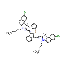 CC1(C)C(/C=C/C2=C(Sc3ccccc3)C(=C/C=C3/N(CCCCS(=O)(=O)O)c4ccc5cc(Br)ccc5c4C3(C)C)/c3ccccc32)=[N+](CCCCS(=O)(=O)O)c2ccc3cc(Br)ccc3c21